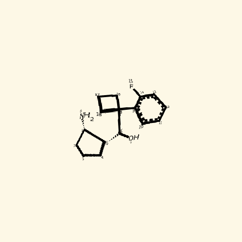 N[C@H]1CCC[C@H]1C(O)C1(c2ccccc2F)CCC1